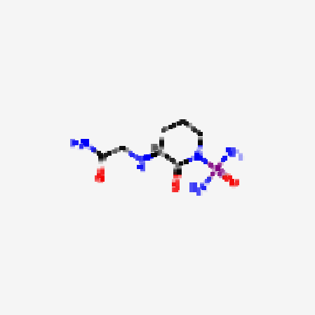 NC(=O)CN[C@H]1CCCN(P(N)(N)=O)C1=O